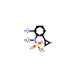 CN(c1c(N)cccc1C1CC1)S(C)(=O)=O